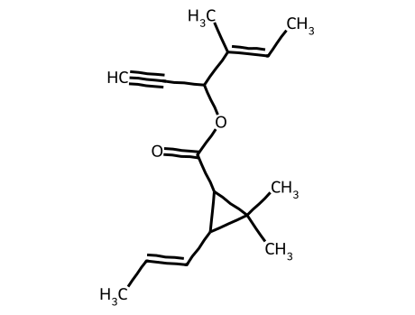 C#CC(OC(=O)C1C(C=CC)C1(C)C)C(C)=CC